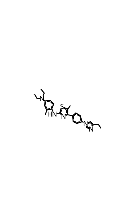 CCc1cn(-c2ccc(-c3nc(Nc4ccc(N(CC)CC)cc4C)sc3C)cc2)cn1